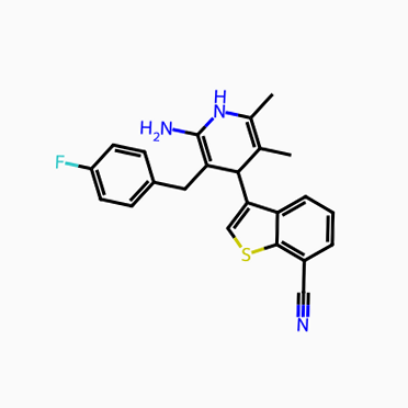 CC1=C(C)C(c2csc3c(C#N)cccc23)C(Cc2ccc(F)cc2)=C(N)N1